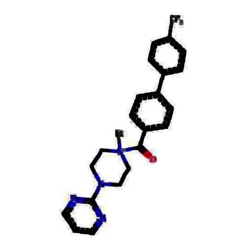 CC[N+]1(C(=O)c2ccc(-c3ccc(C(F)(F)F)cc3)cc2)CCN(c2ncccn2)CC1